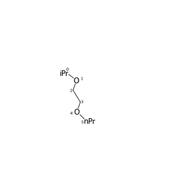 [CH2]C(C)OCCOC[CH]C